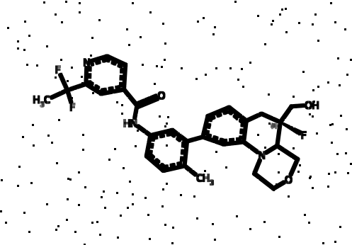 Cc1ccc(NC(=O)c2ccnc(C(C)(F)F)c2)cc1-c1ccc2c(c1)N1CCOCC1[C@@](F)(CO)C2